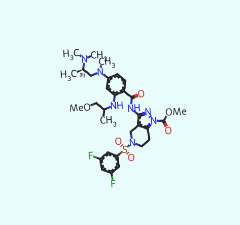 COCC(C)Nc1cc(N(C)C[C@@H](C)N(C)C)ccc1C(=O)Nc1nn(C(=O)OC)c2c1CN(S(=O)(=O)c1cc(F)cc(F)c1)CC2